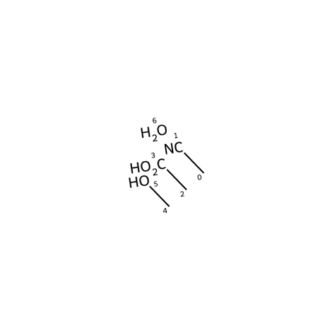 CC#N.CC(=O)O.CO.O